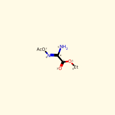 CCOC(=O)/C(N)=N/OC(C)=O